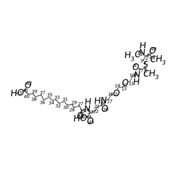 CNC(CSC(C)C(=O)NCCOCCOCCNC(=O)CCC(NC(=O)CCCCCCCCCCCCCCC(=O)O)C(=O)O)C(C)=O